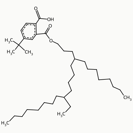 CCCCCCCCC(CC)CCCCC(CCCCCCCC)CCCOC(=O)c1cc(C(C)(C)C)ccc1C(=O)O